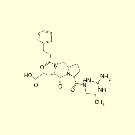 CCCN(NC(=N)N)C(=O)C1CCC2CN(C(=O)CCc3ccccc3)C(CCC(=O)O)C(=O)N21